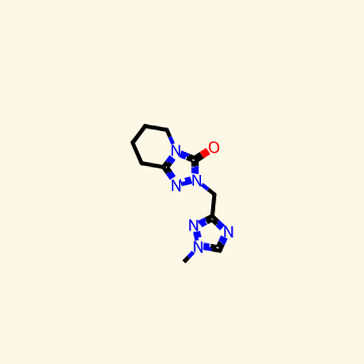 Cn1cnc(Cn2nc3n(c2=O)CCCC3)n1